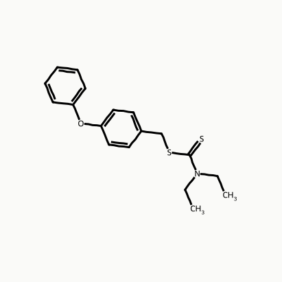 CCN(CC)C(=S)SCc1ccc(Oc2ccccc2)cc1